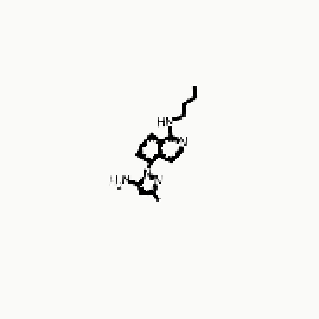 CCCCNc1nccc2c(-n3nc(C)cc3N)cccc12